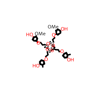 COc1cc(OCCC[Si]2(C)O[Si](C)(CCCOc3ccc(O)c(C)c3)O[Si](C)(CCCOc3ccc(O)c(C)c3)O[Si](C)(CCCOc3ccc(O)c(OC)c3)O2)ccc1O